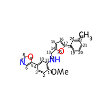 COc1ccc(-c2cnco2)cc1NCc1ccc(-c2cccc(C)c2)o1